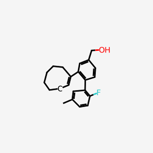 Cc1ccc(F)c(-c2ccc(CO)cc2/C2=C/CCCCCC2)c1